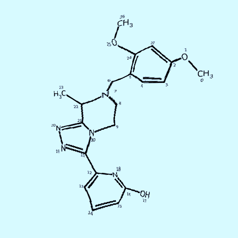 COc1ccc(CN2CCn3c(-c4cccc(O)n4)nnc3C2C)c(OC)c1